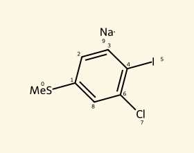 CSc1ccc(I)c(Cl)c1.[Na]